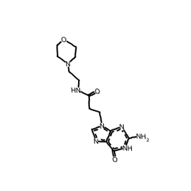 Nc1nc2c(ncn2CCC(=O)NCCN2CCOCC2)c(=O)[nH]1